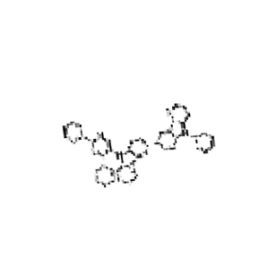 c1ccc(-c2ncc(-n3c4ccccc4c4cc(-c5ccc6c(c5)c5ncccc5n6-c5ccccc5)ccc43)c(-c3ccccc3)n2)cc1